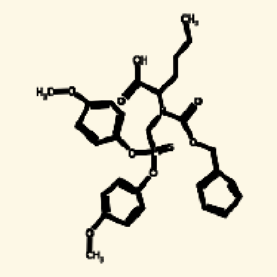 CCCCC(C(=O)O)N(CP(=S)(Oc1ccc(OC)cc1)Oc1ccc(OC)cc1)C(=O)OCc1ccccc1